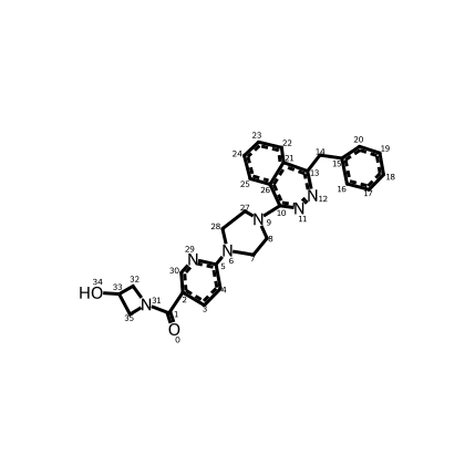 O=C(c1ccc(N2CCN(c3nnc(Cc4ccccc4)c4ccccc34)CC2)nc1)N1CC(O)C1